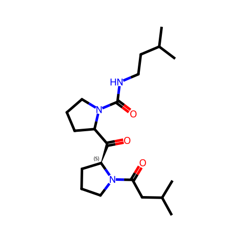 CC(C)CCNC(=O)N1CCCC1C(=O)[C@@H]1CCCN1C(=O)CC(C)C